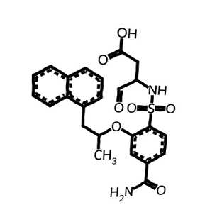 CC(Cc1cccc2ccccc12)Oc1cc(C(N)=O)ccc1S(=O)(=O)NC(C=O)CC(=O)O